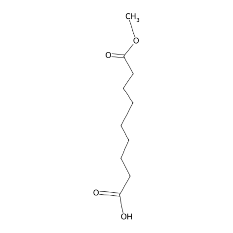 COC(=O)CCCCCCCC(=O)O